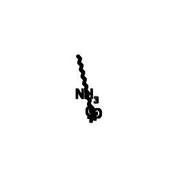 CCCCCCCCCCCCCCCCOC(=O)C(C)(C)C.N